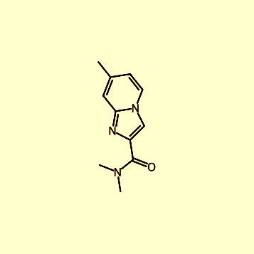 Cc1ccn2cc(C(=O)N(C)C)nc2c1